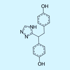 Oc1ccc(CC(c2ccc(O)cc2)c2nnc[nH]2)cc1